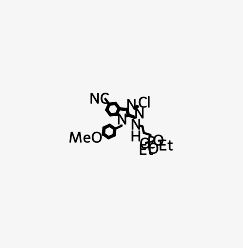 CCOP(=O)(CCCNc1nc(Cl)nc2c3cc(C#N)ccc3n(Cc3ccc(OC)cc3)c12)OCC